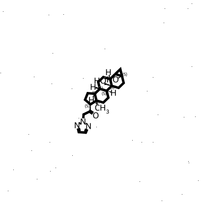 C[C@]12CC[C@H]3[C@@H](CC[C@H]4C5C[C@@]5(O)CC[C@@]43CO)[C@@H]1CC[C@@H]2C(=O)Cn1nccn1